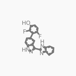 Oc1ccc(F)c(-c2ccc3[nH]nc(-c4nc5ccccc5[nH]4)c3c2)c1F